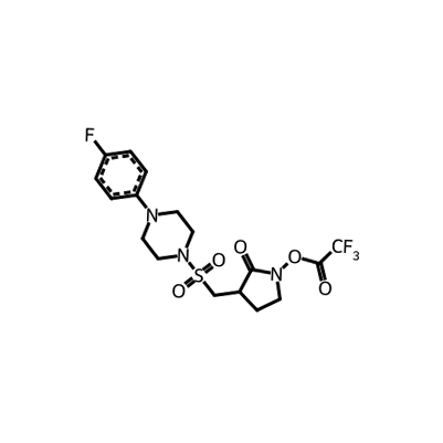 O=C1C(CS(=O)(=O)N2CCN(c3ccc(F)cc3)CC2)CCN1OC(=O)C(F)(F)F